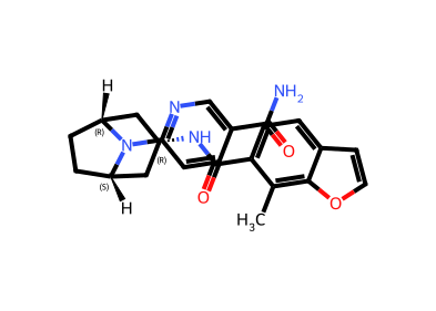 Cc1c(C(=O)N[C@H]2C[C@H]3CC[C@@H](C2)N3c2ccc(C(N)=O)cn2)ccc2ccoc12